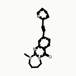 CN1CCCCn2c1nc1cc(C#Cc3ccccn3)ccc1c2=O